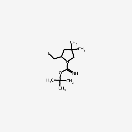 CC1(C)CC(CI)N(C(=N)OC(C)(C)C)C1